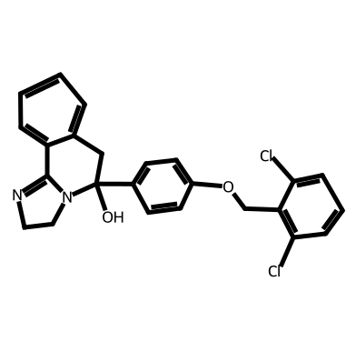 OC1(c2ccc(OCc3c(Cl)cccc3Cl)cc2)Cc2ccccc2C2=NCCN21